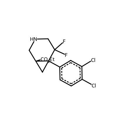 CCOC(=O)C12CNCC(F)(F)C1(c1ccc(Cl)c(Cl)c1)C2